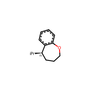 CC(C)[C@@H]1CCCOc2ccccc21